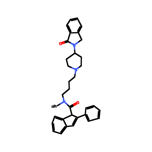 CCCN(CCCCN1CCC(N2Cc3ccccc3C2=O)CC1)C(=O)C1C(c2ccccc2)=Cc2ccccc21